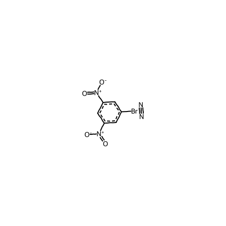 N#N.O=[N+]([O-])c1cc(Br)cc([N+](=O)[O-])c1